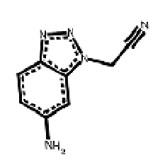 N#CCn1nnc2ccc(N)cc21